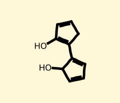 OC1=C(C2=CC=CC2O)CC=C1